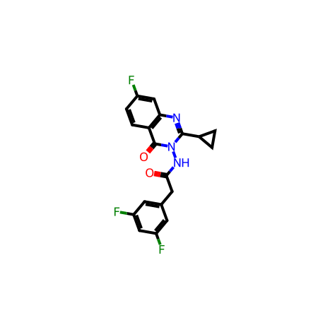 O=C(Cc1cc(F)cc(F)c1)Nn1c(C2CC2)nc2cc(F)ccc2c1=O